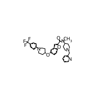 CN(C(=O)c1cc2cc(OC3CCN(c4ccc(C(F)(F)F)cc4)CC3)ccc2o1)C1CCN(Cc2ccccn2)CC1